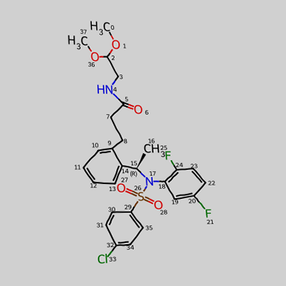 COC(CNC(=O)CCc1ccccc1[C@@H](C)N(c1cc(F)ccc1F)S(=O)(=O)c1ccc(Cl)cc1)OC